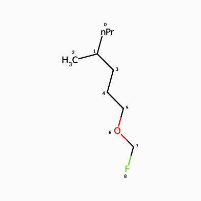 CCCC(C)CCCOCF